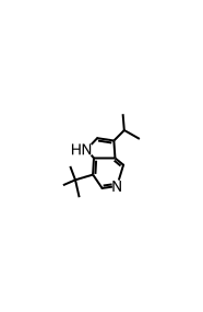 CC(C)c1c[nH]c2c(C(C)(C)C)cncc12